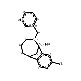 Clc1ccc2c(c1)[C@H]1CC2CCCN1Cc1cccnc1